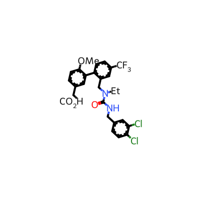 CCN(Cc1cc(C(F)(F)F)ccc1-c1cc(CC(=O)O)ccc1OC)C(=O)NCc1ccc(Cl)c(Cl)c1